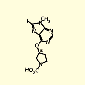 Cn1c(I)nc2c(O[C@H]3CCN(C(=O)O)C3)ncnc21